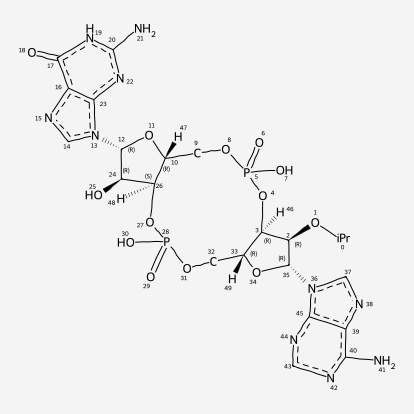 CC(C)O[C@@H]1[C@@H]2OP(=O)(O)OC[C@H]3O[C@@H](n4cnc5c(=O)[nH]c(N)nc54)[C@H](O)[C@@H]3OP(=O)(O)OC[C@H]2O[C@H]1n1cnc2c(N)ncnc21